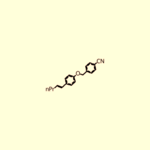 CCC/C=C/c1ccc(OCc2ccc(C#N)cc2)cc1